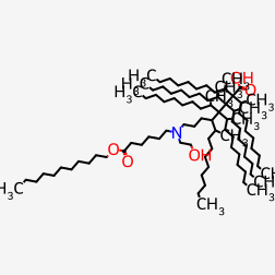 CCCCCCCCCCCOC(=O)CCCCCN(CCO)CCCC(C(C)CCCCCCCC)C(C(C)CCCCCCCC)(C(C)CCCCCCCC)C(C(C)CCCCCCCC)(C(C)CCCCCCCC)C(C(=O)O)(C(C)CCCCCCCC)C(C)CCCCCCCC